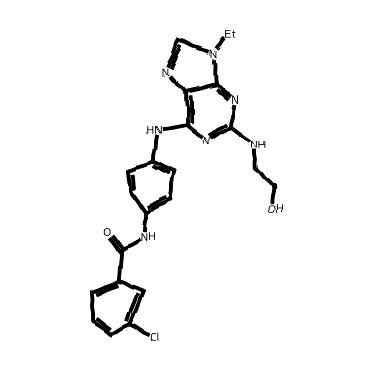 CCn1cnc2c(Nc3ccc(NC(=O)c4cccc(Cl)c4)cc3)nc(NCCO)nc21